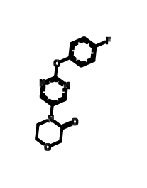 O=C1COCCN1c1cnc(Oc2ccc(F)cc2)nc1